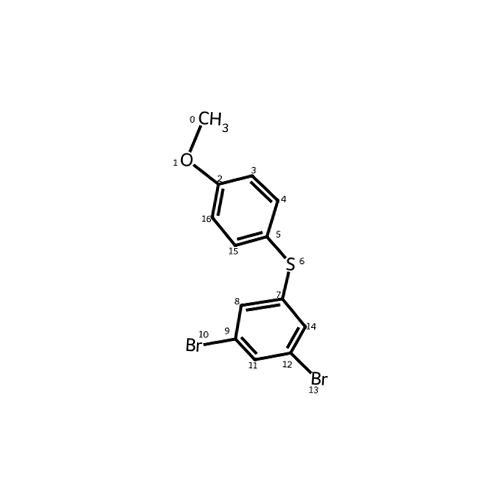 COc1ccc(Sc2cc(Br)cc(Br)c2)cc1